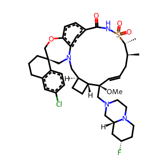 CO[C@]1(CN2CCN3CC[C@H](F)C[C@@H]3C2)/C=C/C[C@H](C)[C@@H](C)S(=O)(=O)NC(=O)c2ccc3c(c2)N(C[C@@H]2CC[C@H]21)C[C@@]1(CCCc2cc(Cl)ccc21)CO3